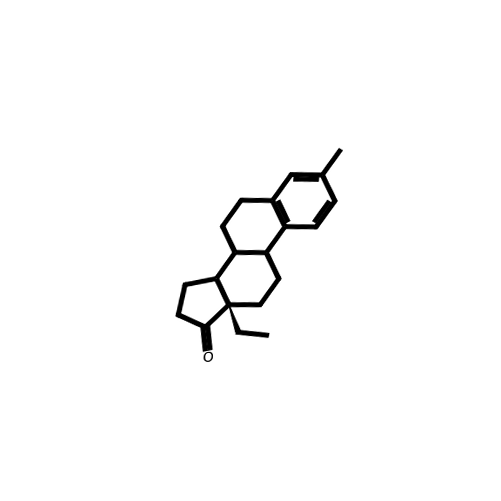 CC[C@]12CCC3c4ccc(C)cc4CCC3C1CCC2=O